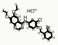 CCOc1cc2ncnc(Nc3ccc(OCc4ccccc4Br)c(Cl)c3)c2cc1OCC.Cl